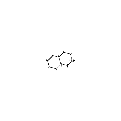 C1=CC2CCNSN2CC1